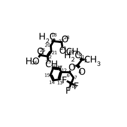 C=C(C)C(=O)OC(CC(F)(F)F)c1ccccc1.C=C(CC=C(C)C(=O)O)C(=O)OC